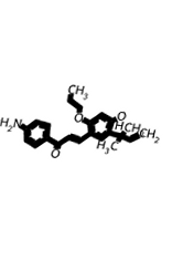 C=CC(C)(C)c1cc(/C=C/C(=O)c2ccc(N)cc2)c(OCCC)cc1O